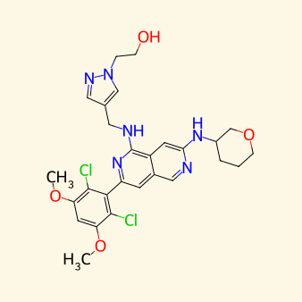 COc1cc(OC)c(Cl)c(-c2cc3cnc(NC4CCCOC4)cc3c(NCc3cnn(CCO)c3)n2)c1Cl